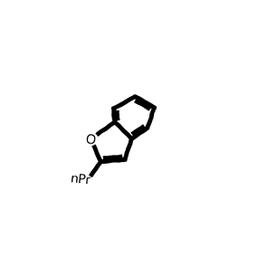 CCCc1cc2ccccc2o1